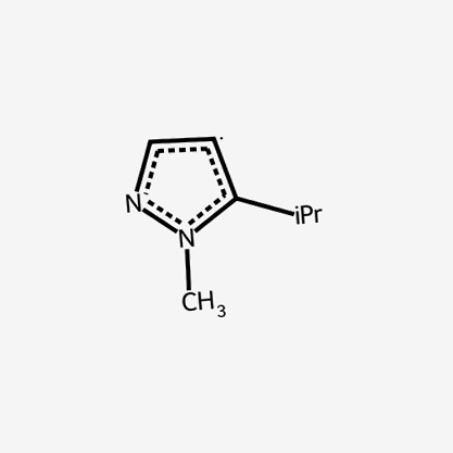 CC(C)c1[c]cnn1C